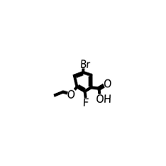 CCOc1cc(Br)cc(C(=O)O)c1F